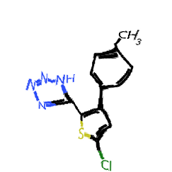 Cc1ccc(-c2cc(Cl)sc2-c2nnn[nH]2)cc1